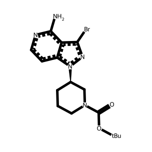 CC(C)(C)OC(=O)N1CCC[C@@H](n2nc(Br)c3c(N)nccc32)C1